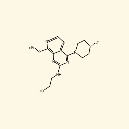 CCCSc1ncnc2c(N3CC[S+]([O-])CC3)nc(NCCO)nc12